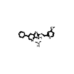 CNC.COc1ccnc(CCc2nc3cc(-c4ccccc4)cnc3[nH]2)c1